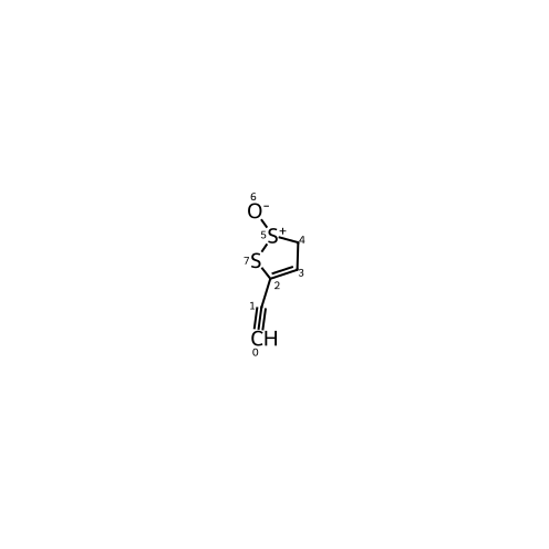 C#CC1=CC[S+]([O-])S1